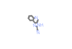 N#Cc1nc2c(cnc3ccccc32)[nH]1